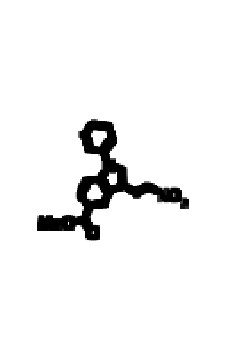 COC(=O)c1ccc2c(c1)c(C=C[N+](=O)[O-])cn2-c1ccccc1